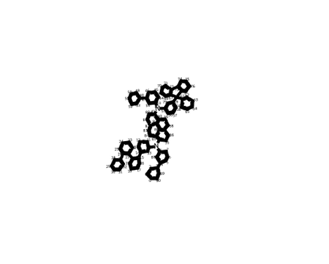 c1ccc(-c2cccc(N(c3cccc(-c4ccccc4-c4ccccc4-c4ccccc4)c3)c3ccc4ccc5c(N(c6cccc(-c7ccccc7)c6)c6cccc(C7(c8ccccc8)c8ccccc8-c8ccccc87)c6)ccc6ccc3c4c65)c2)cc1